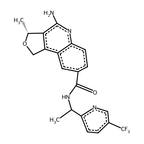 CC(NC(=O)c1ccc2nc(N)c3c(c2c1)CO[C@@H]3C)c1ccc(C(F)(F)F)cn1